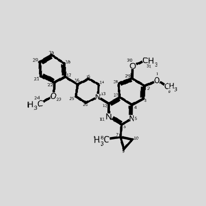 COc1cc2nc(C3(C)CC3)nc(N3CCC(c4ccccc4OC)CC3)c2cc1OC